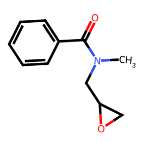 CN(CC1CO1)C(=O)c1ccccc1